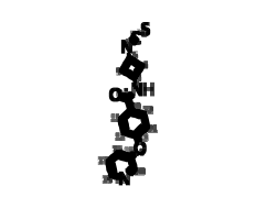 O=C(N[C@H]1C[C@@H](N=C=S)C1)c1ccc(Oc2cccnc2)cc1